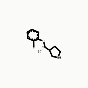 CC[C@H](Oc1ccccc1Cl)C1CCNC1